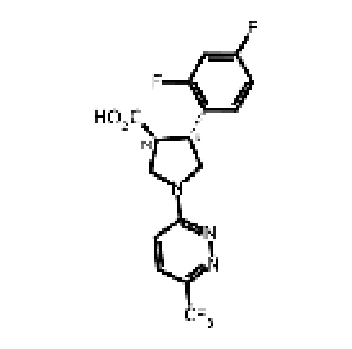 O=C(O)[C@@H]1CN(c2ccc(C(F)(F)F)nn2)C[C@H]1c1ccc(F)cc1F